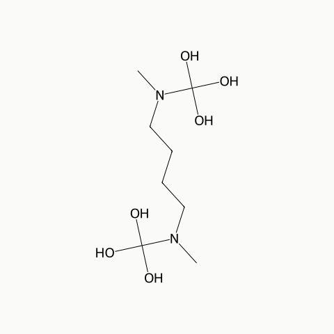 CN(CCCCN(C)C(O)(O)O)C(O)(O)O